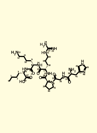 CCCC[C@H](NC(=O)[C@H](CCCCN)NC(=O)[C@H](CCCNC(=N)N)NC(=O)[C@@H]1CCCN1C(=O)CNC(=O)[C@@H](N)Cc1c[nH]cn1)C(=O)O